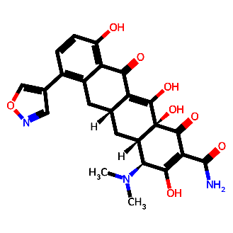 CN(C)[C@@H]1C(O)=C(C(N)=O)C(=O)[C@@]2(O)C(O)=C3C(=O)c4c(O)ccc(-c5cnoc5)c4C[C@H]3C[C@@H]12